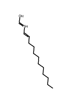 CCCCCCCCCCC=C[SH]=CO